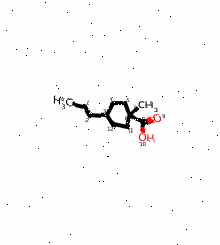 CCCC1CCC(C)(C(=O)O)CC1